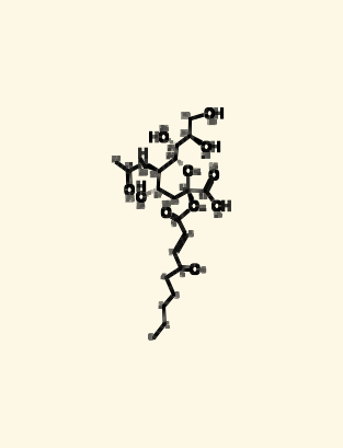 CCCCCC(=O)C=CC(=O)O[C@@]1(C(=O)O)C[C@H](O)[C@@H](NC(C)=O)[C@H]([C@H](O)[C@H](O)CO)O1